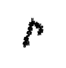 Cc1cc(-c2n[nH]c3ncc(-c4ccc(C5CCN(CCc6ccc(C7CCC(=O)NC7=O)cc6)CC5)nc4)cc23)ccc1[C@@H](C)NC(=O)c1noc(C(C)(C)C)n1